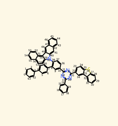 c1ccc(-c2ccc(-c3cc(-c4nc(-c5ccccc5)nc(-c5ccc6sc7ccccc7c6c5)n4)ccc3-n3c4cc5ccccc5cc4c4c5ccccc5ccc43)cc2)cc1